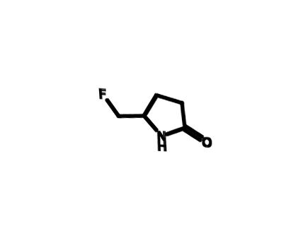 O=C1CCC(CF)N1